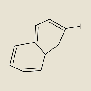 IC1=CC=C2C=CC=CC2C1